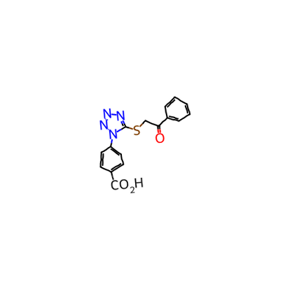 O=C(O)c1ccc(-n2nnnc2SCC(=O)c2ccccc2)cc1